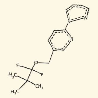 CC(C)(C)C(F)(F)OCc1ccc(-n2cccn2)nc1